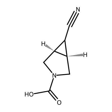 N#CC1[C@H]2CN(C(=O)O)C[C@@H]12